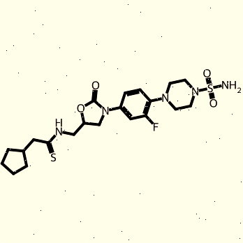 NS(=O)(=O)N1CCN(c2ccc(N3CC(CNC(=S)CC4CCCC4)OC3=O)cc2F)CC1